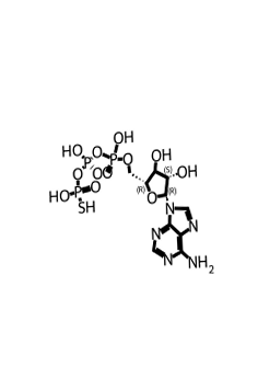 Nc1ncnc2c1ncn2[C@@H]1O[C@H](COP(=O)(O)OP(=O)(O)OP(=O)(O)S)C(O)[C@@H]1O